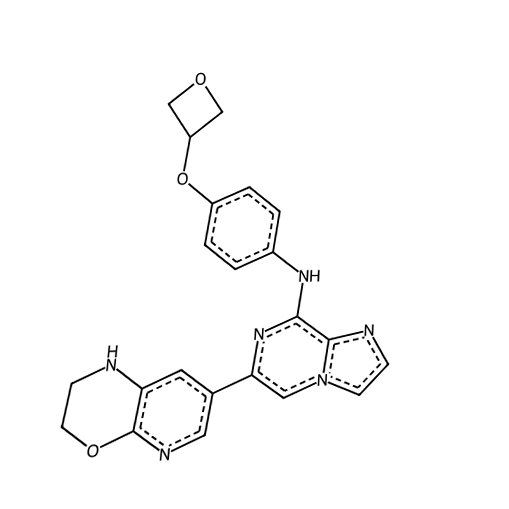 c1cn2cc(-c3cnc4c(c3)NCCO4)nc(Nc3ccc(OC4COC4)cc3)c2n1